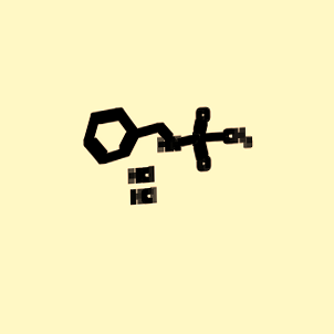 CS(=O)(=O)NCc1ccccc1.Cl.Cl